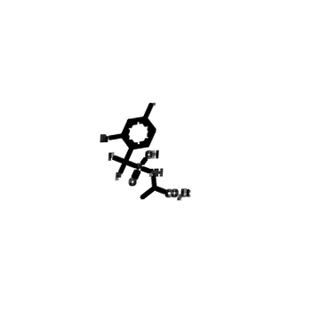 [CH2]c1ccc(C(F)(F)P(=O)(O)NC(C)C(=O)OCC)c(Br)c1